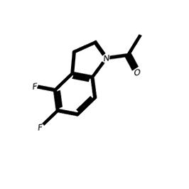 CC(=O)N1CCc2c1ccc(F)c2F